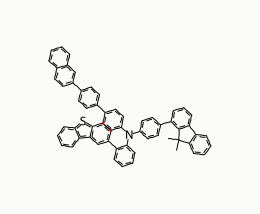 CC1(C)c2ccccc2-c2cccc(-c3ccc(N(c4ccc(-c5ccc(-c6ccc7ccccc7c6)cc5)cc4)c4ccccc4-c4ccc5sc6ccccc6c5c4)cc3)c21